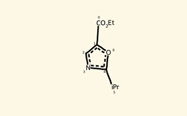 CCOC(=O)c1cnc(C(C)C)o1